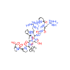 CC(C)[C@H](NC(=O)[C@H](Cc1c[nH]c2ccccc12)NC(=O)[C@H](CC(=O)O)NC(=O)[C@H](CCCNC(=N)N)NC(=O)CNC(=O)[C@H](CCCNC(=N)N)NC(=O)[C@@H]1CCCN1)C(=O)N1CCC[C@H]1C(=O)N1CCC[C@H]1C(=O)O